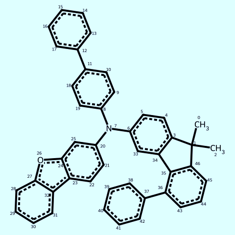 CC1(C)c2ccc(N(c3ccc(-c4ccccc4)cc3)c3ccc4c(c3)oc3ccccc34)cc2-c2c(-c3ccccc3)cccc21